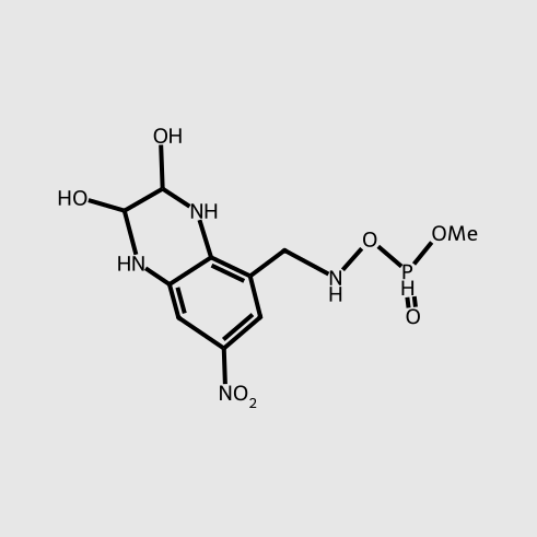 CO[PH](=O)ONCc1cc([N+](=O)[O-])cc2c1NC(O)C(O)N2